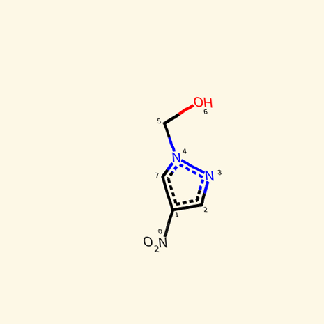 O=[N+]([O-])c1cnn(CO)c1